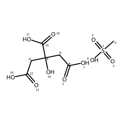 CS(=O)(=O)O.O=C(O)CC(O)(CC(=O)O)C(=O)O